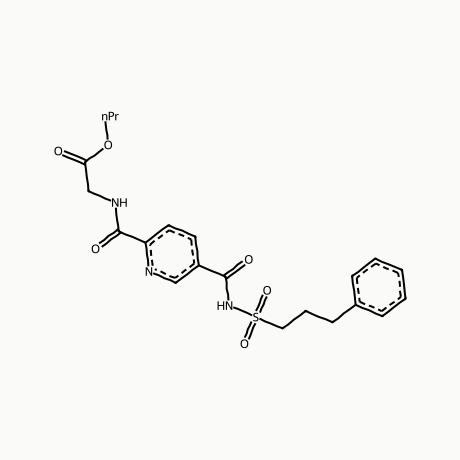 CCCOC(=O)CNC(=O)c1ccc(C(=O)NS(=O)(=O)CCCc2ccccc2)cn1